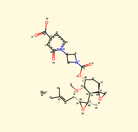 CO[C@@H]1[C@H](OC(=O)N2CC(n3ccc(C(=O)[O-])cc3=O)C2)CC[C@]2(CO2)[C@H]1[C@@]1(C)O[C@@H]1CC=C(C)C.[Na+]